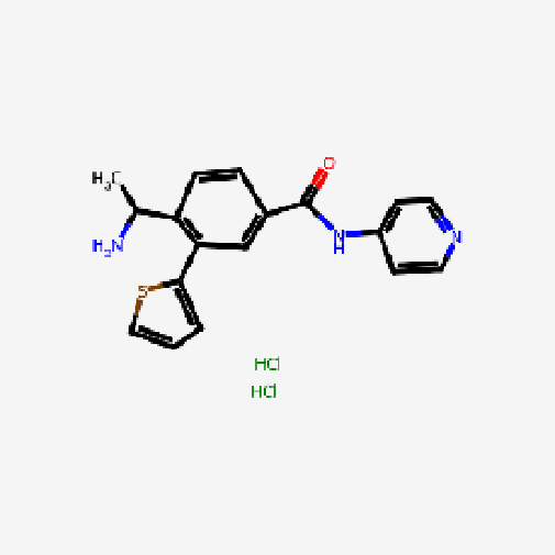 CC(N)c1ccc(C(=O)Nc2ccncc2)cc1-c1cccs1.Cl.Cl